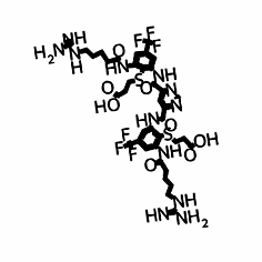 N=C(N)NCCCCC(=O)Nc1cc(C(F)(F)F)cc(NC(=O)c2cc(C(=O)Nc3cc(C(F)(F)F)cc(NC(=O)CCCCNC(=N)N)c3SCCC(=O)O)ncn2)c1SCCC(=O)O